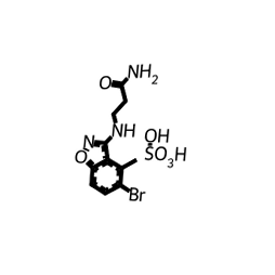 Cc1c(Br)ccc2onc(NCCC(N)=O)c12.O=S(=O)(O)O